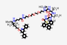 CNC(NCCCCC(=O)NCCCOCCOCCOCCCNC(=O)[C@H](CS(=O)(=O)O)NC(=O)[C@H](CS(=O)(=O)O)NC(=O)[C@H](CS(=O)(=O)O)NC(=O)[C@H](CS(=O)(=O)O)NC(=O)CSC(c1ccccc1)(c1ccccc1)c1ccccc1)C(C)(C)CCCCOc1cc(-c2ccccc2)cc(-c2ccccc2)n1